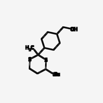 CC(C)(C)C1CCSC(C)(C2CCC(CO)CC2)S1